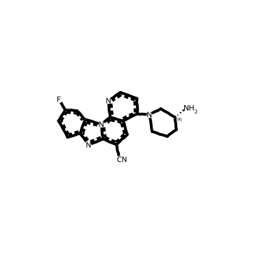 N#Cc1cc2c(N3CCC[C@@H](N)C3)ccnc2n2c1nc1ccc(F)cc12